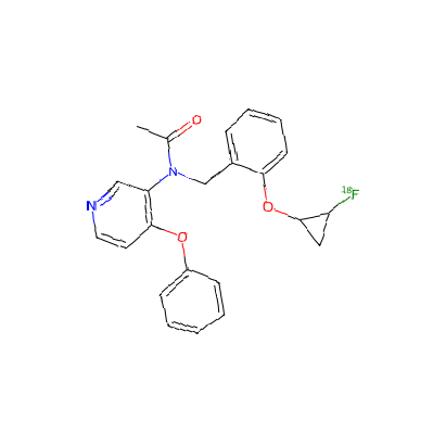 CC(=O)N(Cc1ccccc1OC1CC1[18F])c1cnccc1Oc1ccccc1